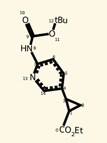 CCOC(=O)C1CC1c1ccc(NC(=O)OC(C)(C)C)nc1